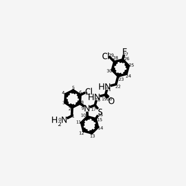 NCc1cccc(Cl)c1N1c2ccccc2SC1NC(=O)NCc1ccc(F)c(Cl)c1